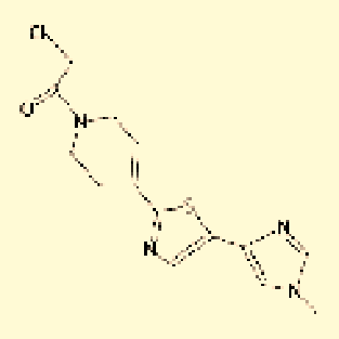 Cn1cnc(-c2cnc(C3=CCN(C(=O)CCl)CC3)s2)c1